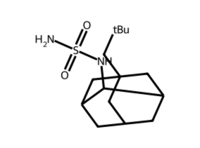 CC(C)(C)CC12CC3CC(C1)C(NS(N)(=O)=O)C(C3)C2